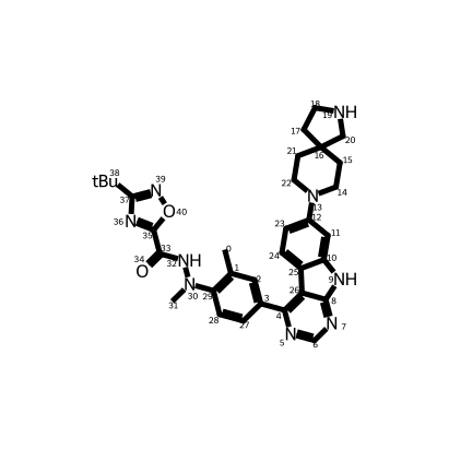 Cc1cc(-c2ncnc3[nH]c4cc(N5CCC6(CCNC6)CC5)ccc4c23)ccc1N(C)NC(=O)c1nc(C(C)(C)C)no1